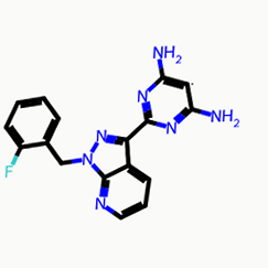 Nc1[c]c(N)nc(-c2nn(Cc3ccccc3F)c3ncccc23)n1